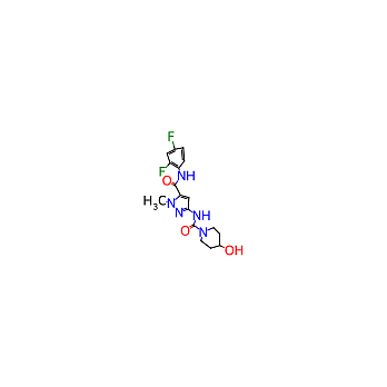 Cn1nc(NC(=O)N2CCC(O)CC2)cc1C(=O)Nc1ccc(F)cc1F